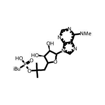 CCC(C)P(=O)(O)OC(C)(C)CC1OC(n2cnc3c(NC)ncnc32)[C@H](O)[C@@H]1O